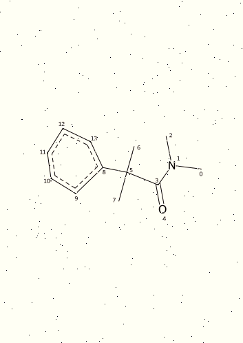 CN(C)C(=O)C(C)(C)c1c[c]ccc1